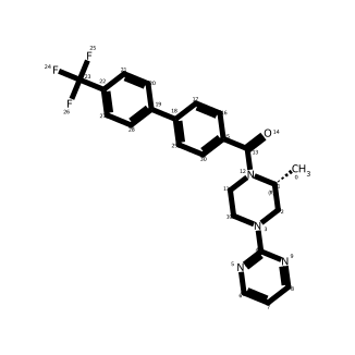 C[C@@H]1CN(c2ncccn2)CCN1C(=O)c1ccc(-c2ccc(C(F)(F)F)cc2)cc1